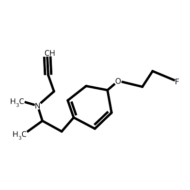 C#CCN(C)C(C)CC1=CCC(OCCF)C=C1